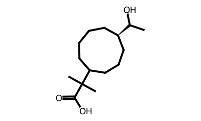 CC(O)[C@@H]1CCCCC(C(C)(C)C(=O)O)CCC1